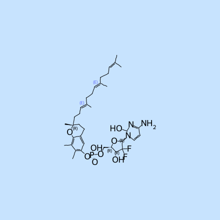 CC(C)=CCC/C(C)=C/CC/C(C)=C/CC[C@]1(C)CCc2cc(OP(=O)(O)OC[C@H]3O[C@@H](N4C=CC(N)=NC4O)C(F)(F)[C@@H]3O)c(C)c(C)c2O1